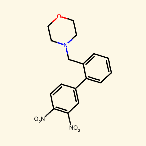 O=[N+]([O-])c1ccc(-c2ccccc2CN2CCOCC2)cc1[N+](=O)[O-]